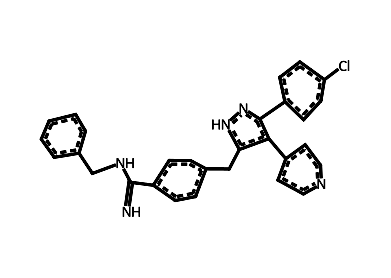 N=C(NCc1ccccc1)c1ccc(Cc2[nH]nc(-c3ccc(Cl)cc3)c2-c2ccncc2)cc1